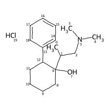 CC(CN(C)C)C1(O)CCCCC1c1ccccc1.Cl